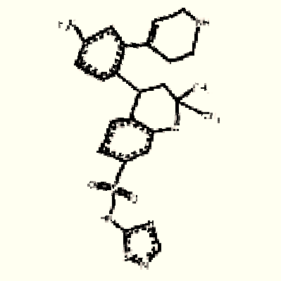 CC1(C)CC(c2ccc(C(F)(F)F)cc2C2=CCNCC2)c2ccc(S(=O)(=O)Nc3ncns3)cc2O1